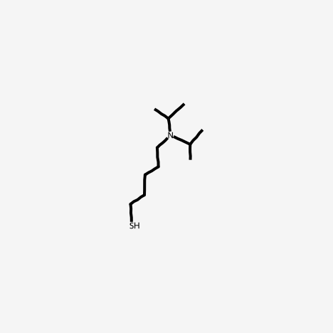 CC(C)N(CCCCCS)C(C)C